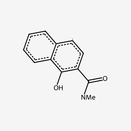 CNC(=O)c1c[c]c2ccccc2c1O